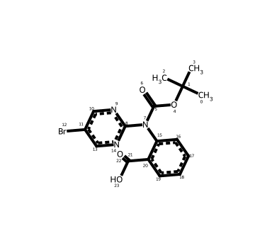 CC(C)(C)OC(=O)N(c1ncc(Br)cn1)c1ccccc1C(=O)O